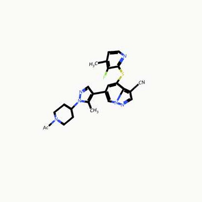 CC(=O)N1CCC(n2ncc(-c3cc(Sc4nccc(C)c4F)c4c(C#N)cnn4c3)c2C)CC1